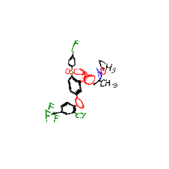 CON=C(C)COc1cc(Oc2ccc(C(F)(F)F)cc2Cl)ccc1S(=O)(=O)c1ccc(F)cc1